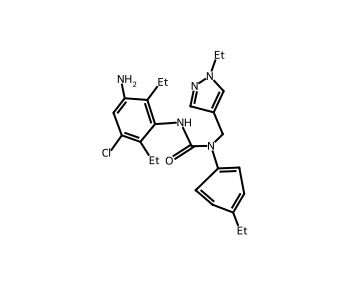 CCc1ccc(N(Cc2cnn(CC)c2)C(=O)Nc2c(CC)c(N)cc(Cl)c2CC)cc1